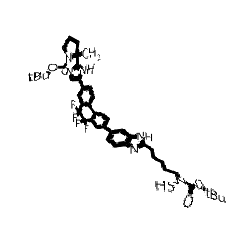 CC(C)(C)OC(=O)N(S)CCCCCc1nc2ccc(-c3ccc4c(c3)C(F)(F)C(F)(F)c3cc(-c5cnc(C6(C)CCCN6C(=O)OC(C)(C)C)[nH]5)ccc3-4)cc2[nH]1